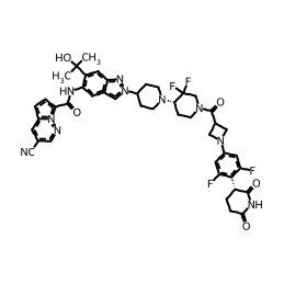 CC(C)(O)c1cc2nn(C3CCN([C@H]4CCN(C(=O)C5CN(c6cc(F)c([C@H]7CCC(=O)NC7=O)c(F)c6)C5)CC4(F)F)CC3)cc2cc1NC(=O)c1ccc2cc(C#N)cnn12